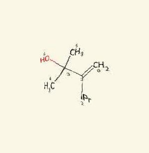 C=C(C(C)C)C(C)(C)O